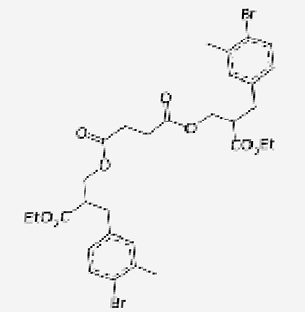 CCOC(=O)C(COC(=O)CCC(=O)OCC(Cc1ccc(Br)c(C)c1)C(=O)OCC)Cc1ccc(Br)c(C)c1